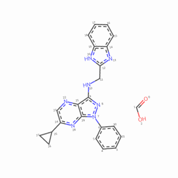 O=CO.c1ccc(-n2nc(NCc3nc4ccccc4[nH]3)c3ncc(C4CC4)nc32)cc1